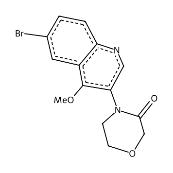 COc1c(N2CCOCC2=O)cnc2ccc(Br)cc12